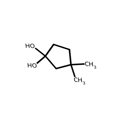 CC1(C)CCC(O)(O)C1